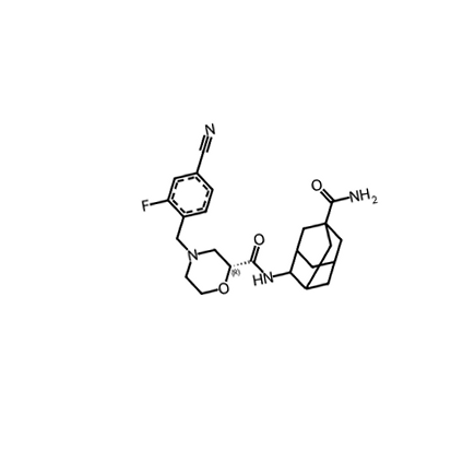 N#Cc1ccc(CN2CCO[C@@H](C(=O)NC3C4CC5CC3CC(C(N)=O)(C5)C4)C2)c(F)c1